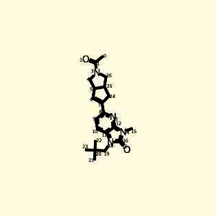 CC(=O)N1CC2C=C(c3ccc4c(n3)n(C)c(=O)n4CC(C)(C)C)CC2C1